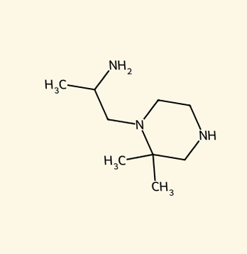 CC(N)CN1CCNCC1(C)C